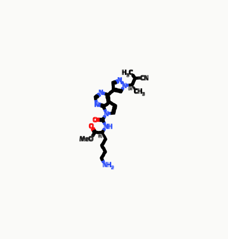 COC(=O)[C@H](CCCCN)NC(=O)n1ccc2c(-c3cnn([C@@H](C)C(C)C#N)c3)ncnc21